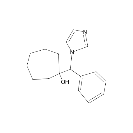 OC1(C(c2ccccc2)n2ccnc2)CCCCCC1